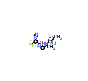 C=C/C=C/C(Cl)=N\C(=C/C)N[C@@H](C)c1cccc(NC(=O)c2cc(-n3ccnc3)cc(C(F)(F)F)c2)c1